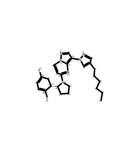 CCCCCCc1cnn(-c2cnn3ccc(N4CCCC4[C@H]4CC(F)=CC=C4F)nc23)c1